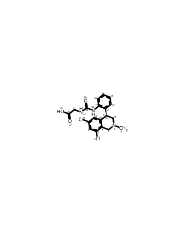 CN1Cc2c(Cl)cc(Cl)cc2[C@@H](c2ccccc2NC(=O)NCC(=O)O)C1